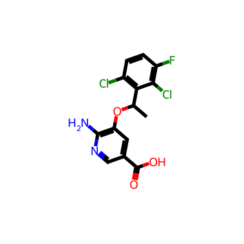 CC(Oc1cc(C(=O)O)cnc1N)c1c(Cl)ccc(F)c1Cl